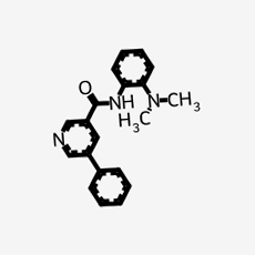 CN(C)c1ccccc1NC(=O)c1cncc(-c2ccccc2)c1